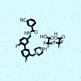 N#Cc1cccc(C(=O)NCc2ccc(F)c(-c3ccc(F)c(CN4CCNCC4)c3)c2)c1.O=C(O)C(F)(F)F.O=C(O)C(F)(F)F